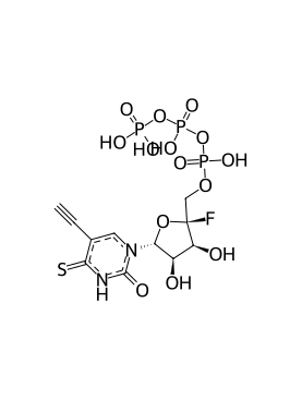 C#Cc1cn([C@@H]2O[C@](F)(COP(=O)(O)OP(=O)(O)OP(=O)(O)O)[C@@H](O)[C@H]2O)c(=O)[nH]c1=S